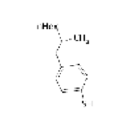 CCCCCCC(C)Cc1ccc(S)cc1